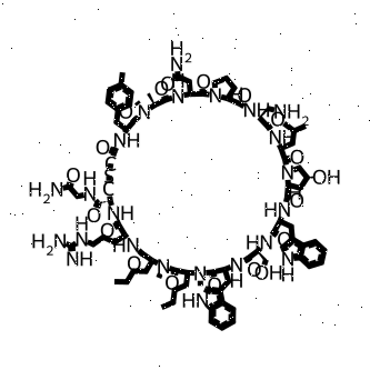 CCCCC1C(=O)N(C)C(CCCC)C(=O)NC(CCCNC(=N)N)C(=O)N[C@H](C(=O)NCC(N)=O)CSCC(=O)NC(Cc2ccc(C)cc2)C(=O)N(C)[C@@H](C)C(=O)NC(CC(N)=O)C(=O)N2CCC[C@H]2C(=O)N[C@@H](CN)C(=O)NC(CC(C)C)C(=O)N2C[C@H](O)C[C@H]2C(=O)NC(Cc2c[nH]c3ccccc23)C(=O)N[C@@H](CO)C(=O)NC(Cc2c[nH]c3ccccc23)C(=O)N1C